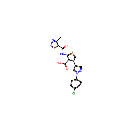 Cc1nnsc1C(=O)Nc1scc(-c2cnn(-c3ccc(Cl)cc3)c2)c1C(=O)O